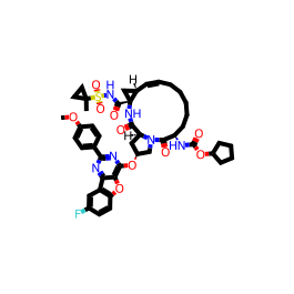 COc1ccc(-c2nc(O[C@@H]3C[C@H]4C(=O)N[C@]5(C(=O)NS(=O)(=O)C6(C)CC6)C[C@H]5/C=C\CCCCC[C@H](NC(=O)OC5CCCC5)C(=O)N4C3)c3oc4ccc(F)cc4c3n2)cc1